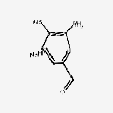 Nc1cc(C=O)ccc1S.[NaH]